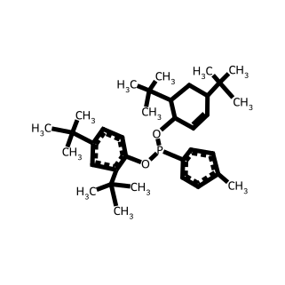 Cc1ccc(P(Oc2ccc(C(C)(C)C)cc2C(C)(C)C)OC2C=CC(C(C)(C)C)CC2C(C)(C)C)cc1